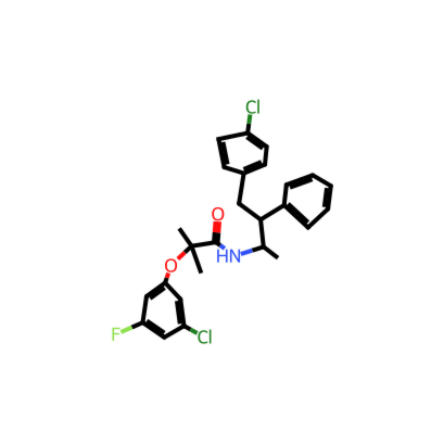 CC(NC(=O)C(C)(C)Oc1cc(F)cc(Cl)c1)C(Cc1ccc(Cl)cc1)c1ccccc1